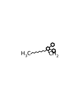 C=Cc1c(CCCCCCCCCC)ccc(-c2ccccc2)c1-c1ccccc1